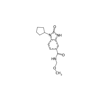 COCNC(=O)c1ccc2c(c1)[nH]c(=O)n2C1CCCC1